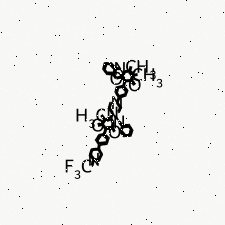 Cc1c2nc3ccccc3oc-2c(-c2ccc(N3CCN(c4c5nc6ccccc6oc-5c(-c5ccc(C6CCN(CC(F)(F)F)CC6)cc5)c(=O)c4C)CC3)cc2)c(=O)c1C